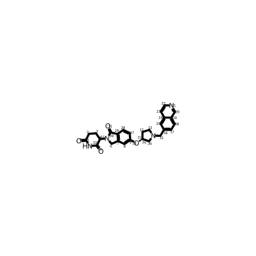 O=C1CCC(N2Cc3cc(O[C@H]4CCN(Cc5ccc6cnccc6c5)C4)ccc3C2=O)C(=O)N1